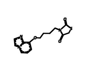 O=C1CSC(=O)N1CCCCOc1cccn2ccnc12